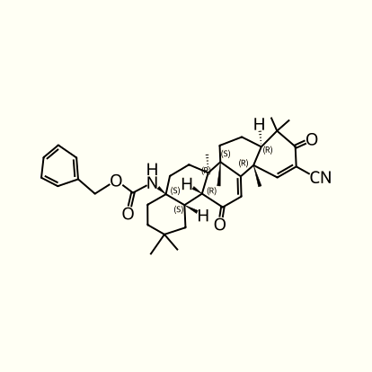 CC1(C)CC[C@]2(NC(=O)OCc3ccccc3)CC[C@]3(C)[C@H](C(=O)C=C4[C@@]5(C)C=C(C#N)C(=O)C(C)(C)[C@@H]5CC[C@]43C)[C@@H]2C1